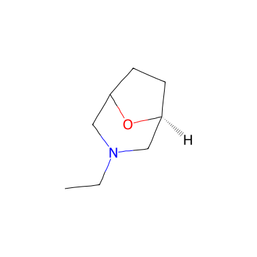 CCN1CC2CC[C@@H](C1)O2